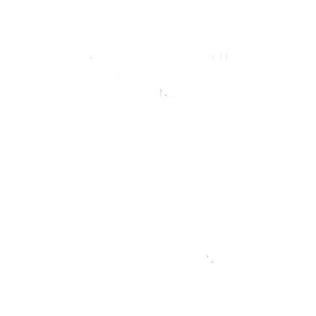 C=CC(c1ccc(C#N)cc1)N1CCC(=O)CC1